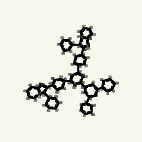 c1ccc(-c2cc(-c3ccccc3)cc(-c3nc(-c4ccc(-c5nc6ccccn6c5-c5ccccc5)cc4)cc(-c4ccc(-c5nc6ccccn6c5-c5ccccc5)cc4)n3)c2)cc1